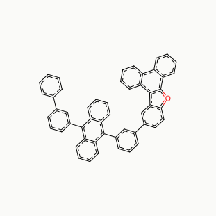 c1ccc(-c2cccc(-c3c4ccccc4c(-c4cccc(-c5ccc6oc7c8ccccc8c8ccccc8c7c6c5)c4)c4ccccc34)c2)cc1